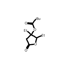 CCC(C)C(=O)OC1(CC)CC(=O)OC1CC